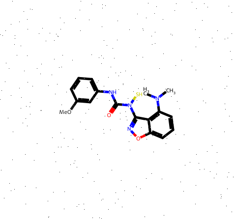 COc1cccc(NC(=O)N(S)c2noc3cccc(N(C)C)c23)c1